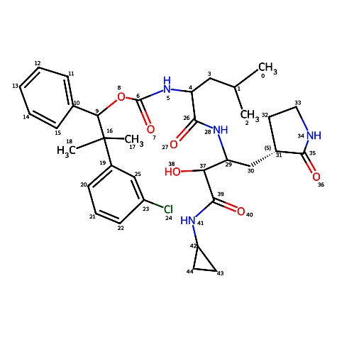 CC(C)CC(NC(=O)OC(c1ccccc1)C(C)(C)c1cccc(Cl)c1)C(=O)NC(C[C@@H]1CCNC1=O)C(O)C(=O)NC1CC1